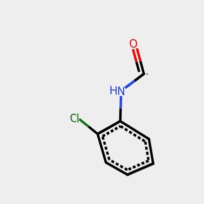 O=[C]Nc1ccccc1Cl